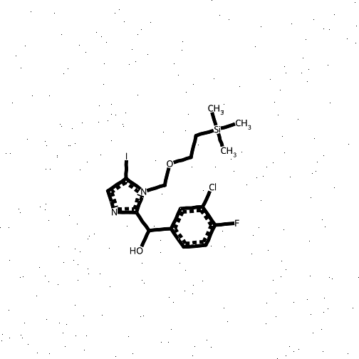 C[Si](C)(C)CCOCn1c(I)cnc1C(O)c1ccc(F)c(Cl)c1